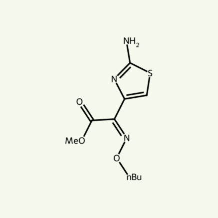 CCCCON=C(C(=O)OC)c1csc(N)n1